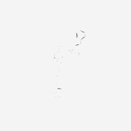 COC(=O)CCCCCC[C@@H]1[C@@H](CC[C@@H](O)c2cc3ccccc3s2)[C@H](O)C[C@@H]1O